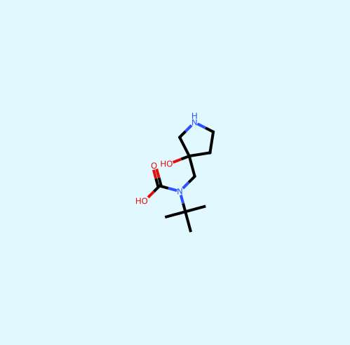 CC(C)(C)N(CC1(O)CCNC1)C(=O)O